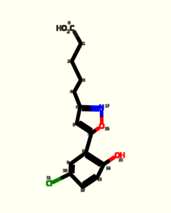 O=C(O)CCCCc1cc(-c2cc(Cl)ccc2O)on1